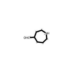 O=CC1CCCNCC1